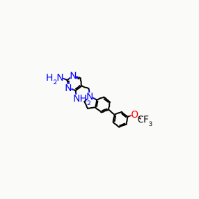 Nc1ncc(CN2CCc3cc(-c4cccc(OC(F)(F)F)c4)ccc32)c(N)n1